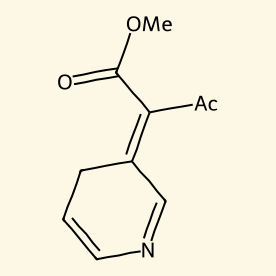 COC(=O)C(C(C)=O)=C1C=NC=CC1